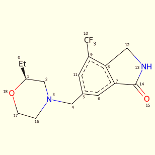 CC[C@H]1CN(Cc2cc3c(c(C(F)(F)F)c2)CNC3=O)CCO1